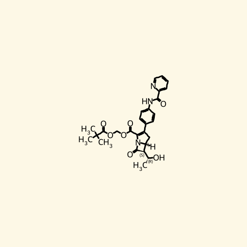 C[C@@H](O)[C@H]1C(=O)N2C(C(=O)OCOC(=O)C(C)(C)C)=C(c3ccc(NC(=O)c4ccccn4)cc3)C[C@H]12